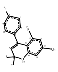 CC1(C)C=C(c2ccc(F)cc2)c2c(F)cc(Cl)cc2O1